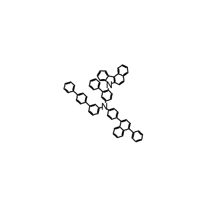 c1ccc(-c2ccc(-c3cccc(N(c4ccc(-c5ccc(-c6ccccc6)c6ccccc56)cc4)c4ccc(-n5c6ccccc6c6c7ccccc7ccc65)c(-c5ccccc5)c4)c3)cc2)cc1